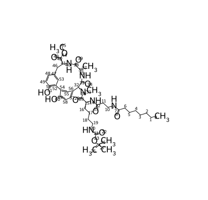 CCCCCCCC(=O)NCCC(=O)N[C@@H](CCCCNC(=O)OC(C)(C)C)C(=O)N(C)[C@@H]1C(=O)N[C@@H](C)C(=O)N[C@H](C(=O)OC)Cc2ccc(O)c(c2)-c2cc1ccc2O